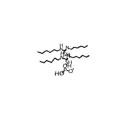 CCCCCCN=C(S)NCCCCCC.CCCCCCN=C(S)NCCCCCC.COP(O)O